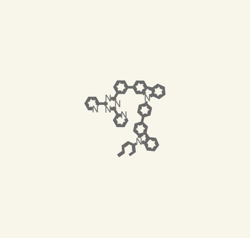 C=C/C=C\C(=C/C)n1c2ccccc2c2cc(-c3ccc(-n4c5ccccc5c5ccc(-c6cccc(-c7nc(-c8ccccn8)nc(-c8ccccn8)n7)c6)cc54)cc3)ccc21